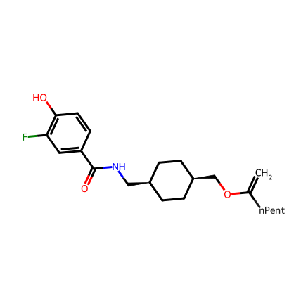 C=C(CCCCC)OC[C@H]1CC[C@@H](CNC(=O)c2ccc(O)c(F)c2)CC1